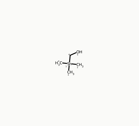 [CH3][Sn]([CH3])([CH3])[CH2]O